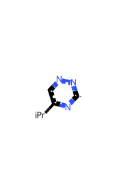 CC(C)c1cnn[c]n1